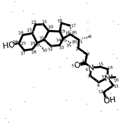 C[C@H](CCC(=O)N1CC[N+](C)(CCO)CC1)[C@H]1CCC2C3CCC4C[C@H](O)CC[C@]4(C)C3CC[C@@]21C